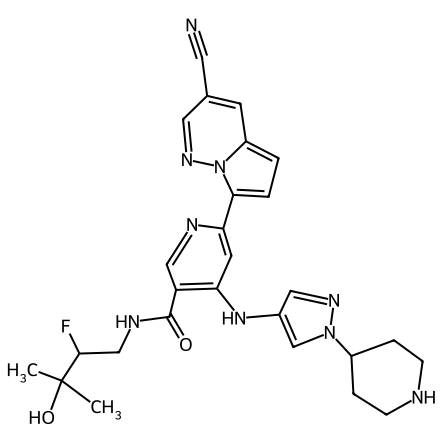 CC(C)(O)C(F)CNC(=O)c1cnc(-c2ccc3cc(C#N)cnn23)cc1Nc1cnn(C2CCNCC2)c1